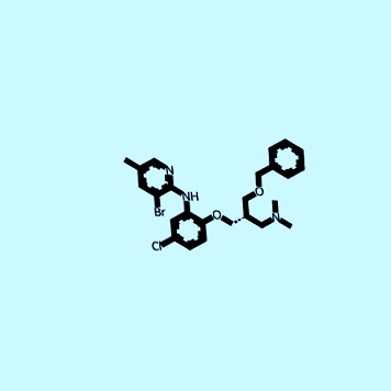 Cc1cnc(Nc2cc(Cl)ccc2OC[C@H](COCc2ccccc2)CN(C)C)c(Br)c1